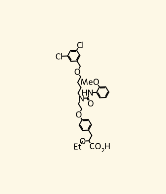 CCOC(Cc1ccc(OCCN(CCCCOCc2cc(Cl)cc(Cl)c2)C(=O)Nc2ccccc2OC)cc1)C(=O)O